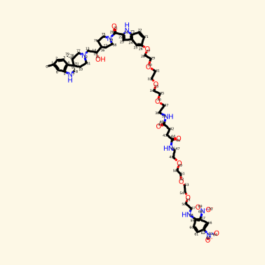 Cc1ccc2c(c1)NC[C@]21CCN(C[C@@H](O)C2CCN(C(=O)c3cc4cc(OCCOCCOCCOCCNC(=O)CCC(=O)NCCOCCOCCOCCNc5ccc([N+](=O)[O-])cc5[N+](=O)[O-])ccc4[nH]3)CC2)C[C@H]1C